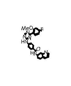 COc1cc(F)ccc1-c1ncnc(Nc2ccc(C(=O)Nc3ccc4cccnc4c3)cc2)n1